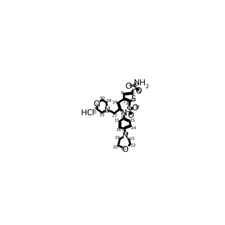 Cl.NS(=O)(=O)c1cc2c(s1)S(=O)(=O)N(c1ccc(N3CCOCC3)cc1)C(CN1CCOCC1)=C2